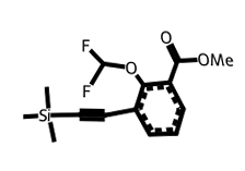 COC(=O)c1cccc(C#C[Si](C)(C)C)c1OC(F)F